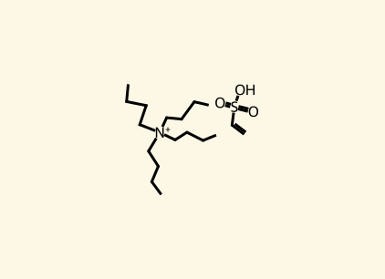 C=CS(=O)(=O)O.CCCC[N+](CCCC)(CCCC)CCCC